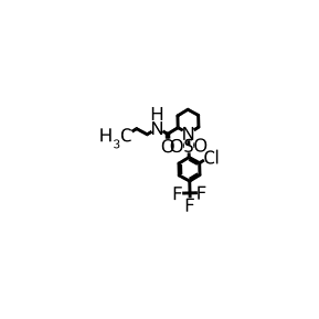 CCCNC(=O)C1CCCCN1S(=O)(=O)c1ccc(C(F)(F)F)cc1Cl